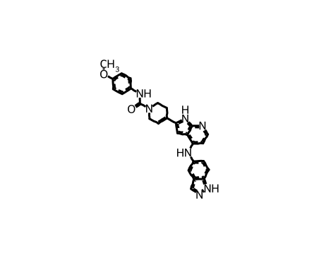 COc1ccc(NC(=O)N2CC=C(c3cc4c(Nc5ccc6[nH]ncc6c5)ccnc4[nH]3)CC2)cc1